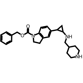 O=C(OCc1ccccc1)N1CCc2cc(C3CC3NCC3CCNCC3)ccc21